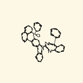 O=P1(c2ccccc2)c2cc3c(cc2-c2cccc4cccc1c24)c1ccccc1n3-c1nc(-c2ccccc2)c2ccccc2n1